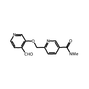 CNC(=O)c1ccc(COc2cnccc2C=O)nc1